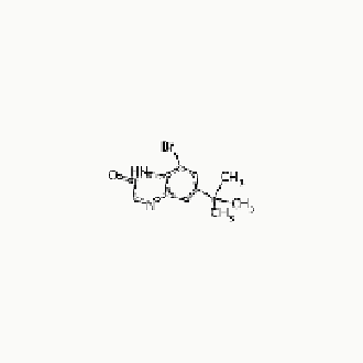 CC(C)(C)c1cc(Br)c2[nH]c(=O)cnc2c1